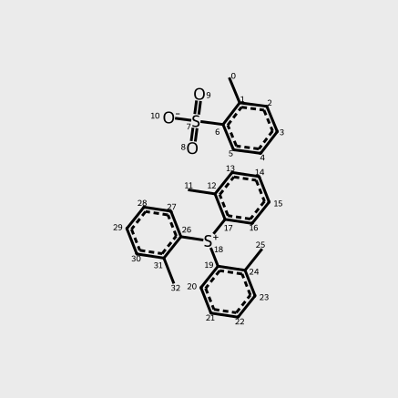 Cc1ccccc1S(=O)(=O)[O-].Cc1ccccc1[S+](c1ccccc1C)c1ccccc1C